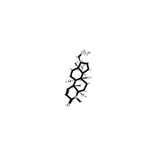 CN1C(=O)C=C[C@]2(C)[C@H]3CC[C@]4(C)[C@@H](CC(=O)O)CC[C@H]4[C@@H]3CC[C@@H]12